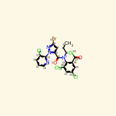 CCCN(C(=O)c1cc(Br)nn1-c1ncccc1Cl)c1c(Cl)cc(Cl)cc1C(=O)Cl